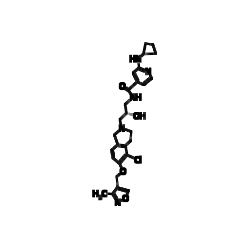 Cc1nocc1COc1ccc2c(c1Cl)CCN(C[C@@H](O)CNC(=O)c1ccnc(NC3CCC3)c1)C2